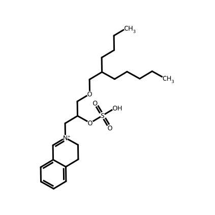 CCCCCC(CCCC)COCC(C[N+]1=Cc2ccccc2CC1)OS(=O)(=O)O